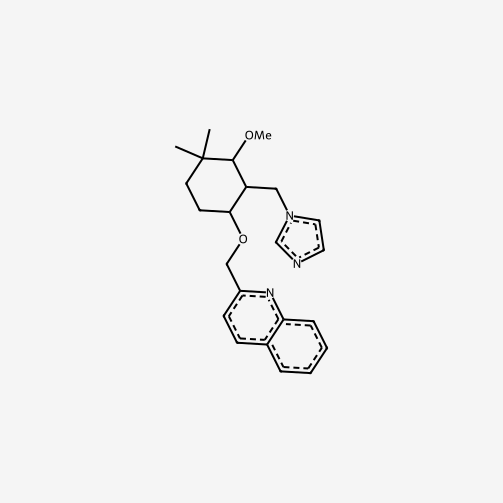 COC1C(Cn2ccnc2)C(OCc2ccc3ccccc3n2)CCC1(C)C